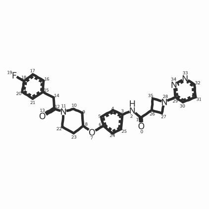 O=C(Nc1ccc(OC2CCN(C(=O)Cc3ccc(F)cc3)CC2)cc1)C1CN(c2cccnn2)C1